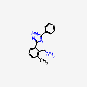 Cc1cccc(-c2n[nH]c(-c3ccccc3)n2)c1CN